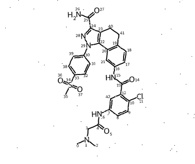 CN(C)CC(=O)Nc1ccc(Cl)c(C(=O)Nc2ccc3c(c2)-c2c(c(C(N)=O)nn2-c2ccc(S(C)(=O)=O)cc2)CC3)c1